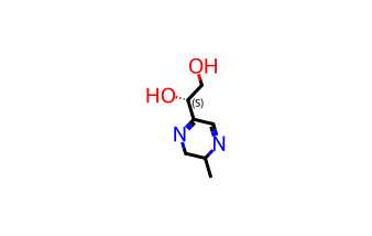 CC1CN=C([C@H](O)CO)C=N1